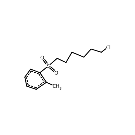 Cc1ccccc1S(=O)(=O)CCCCCCCl